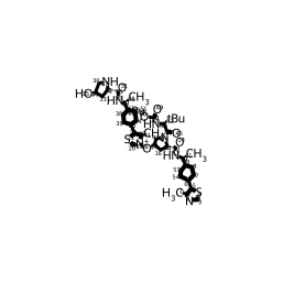 Cc1ncsc1-c1ccc([C@H](C)NC(=O)[C@@H]2C[C@@H](O[n+]3csc(-c4ccc([C@H](C)NC(=O)[C@@H]5C[C@@H](O)CN5)cc4)c3C)CN2C(=O)[C@@H](NC(=O)OC(C)(C)C)C(C)(C)C)cc1